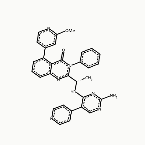 COc1cc(-c2cccc3nc([C@H](C)Nc4nc(N)ncc4-c4ccncc4)n(-c4ccccc4)c(=O)c23)ccn1